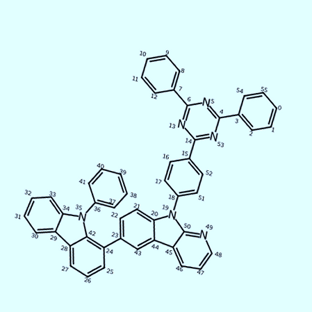 c1ccc(-c2nc(-c3ccccc3)nc(-c3ccc(-n4c5ccc(-c6cccc7c8ccccc8n(-c8ccccc8)c67)cc5c5cccnc54)cc3)n2)cc1